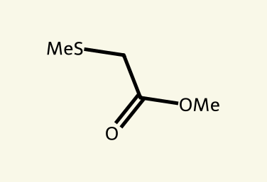 COC(=O)CSC